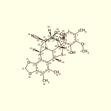 COc1c(C)cc2c(c1O)[C@@H]1C3[C@@H]4SCC(N)C(=O)OC[C@@H](c5c6c(c(C)c(C)c54)OCO6)N3[C@@H](C#N)[C@H](C2)N1C